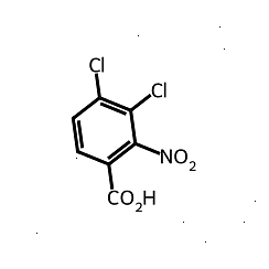 O=C(O)c1ccc(Cl)c(Cl)c1[N+](=O)[O-]